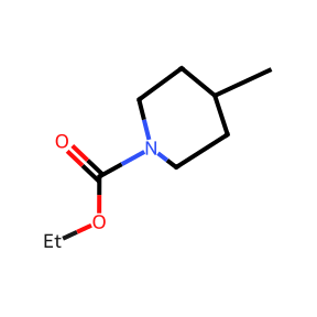 CCOC(=O)N1CCC(C)CC1